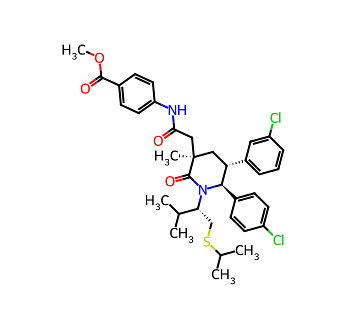 COC(=O)c1ccc(NC(=O)C[C@@]2(C)C[C@H](c3cccc(Cl)c3)[C@@H](c3ccc(Cl)cc3)N([C@H](CSC(C)C)C(C)C)C2=O)cc1